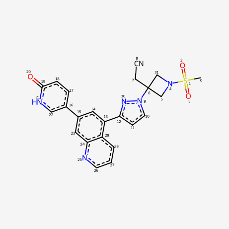 CS(=O)(=O)N1CC(CC#N)(n2ccc(-c3cc(-c4ccc(=O)[nH]c4)cc4ncccc34)n2)C1